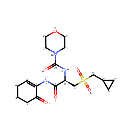 O=C1CCCC=C1NC(=O)[C@H](CS(=O)(=O)CC1CC1)NC(=O)N1CCOCC1